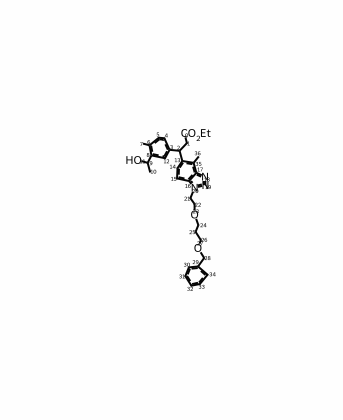 CCOC(=O)CC(c1ccc(C)c(C(C)O)c1)c1ccc2c(nnn2CCOCCCOCc2ccccc2)c1C